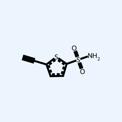 C#Cc1ccc(S(N)(=O)=O)s1